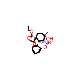 CCOC(=O)[C@]1(C(C)=O)CC[C@@](C)(O)[C@@H]([N+](=O)[O-])[C@@H]1c1ccccc1